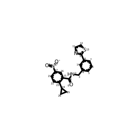 O=C(NCc1cccc(-c2nccs2)c1)c1cc([N+](=O)[O-])ccc1C1CC1